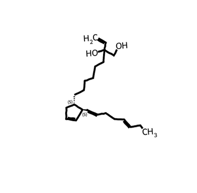 C=CC(O)(CO)CCCCCC[C@H]1CC=C[C@@H]1C=CCCC=CCC